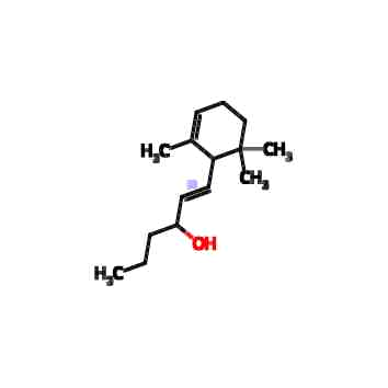 CCCC(O)/C=C/C1C(C)=CCCC1(C)C